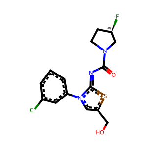 O=C(N=c1sc(CO)cn1-c1cccc(Cl)c1)N1CC[C@@H](F)C1